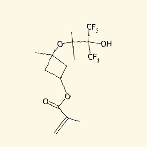 C=C(C)C(=O)OC1CC(C)(OC(C)(C)C(O)(C(F)(F)F)C(F)(F)F)C1